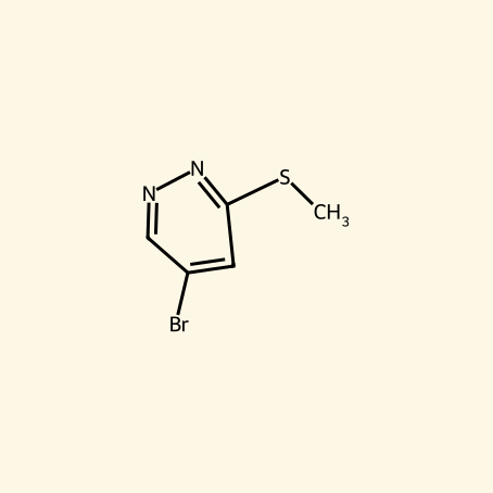 CSc1cc(Br)cnn1